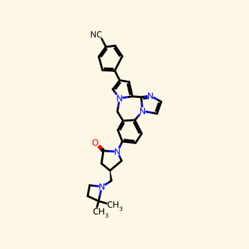 CC1(C)CCN1C[C@H]1CC(=O)N(c2ccc3c(c2)Cn2cc(-c4ccc(C#N)cc4)cc2-c2nccn2-3)C1